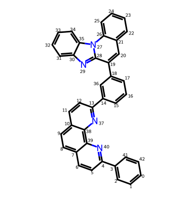 c1ccc(-c2ccc3ccc4ccc(-c5cccc(-c6cc7ccccc7n7c6nc6ccccc67)c5)nc4c3n2)cc1